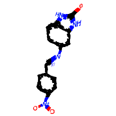 O=c1[nH]c2ccc(/N=C/c3ccc([N+](=O)[O-])cc3)cc2[nH]1